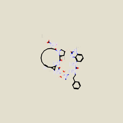 CC(C)n1c(O[C@@H]2C[C@H]3C(=O)N[C@]4(C(=O)NS(=O)(=O)N(C)C)C[C@H]4/C=C\CCCCC[C@H](NC(=O)OC(C)(C)C)C(=O)N3C2)nc2c(NC(=O)NCCc3ccccc3)cccc21